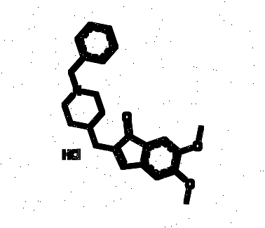 COc1cc2c(cc1OC)C(=O)C(CC1CCN(Cc3ccccc3)CC1)=C2.Cl